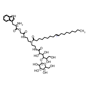 CCCCCCCC/C=C/CCCCCCCC(=O)N(CCNC(=O)COC(=O)[C@H](N)Cc1c[nH]c2ccccc12)CCNC(=O)C(O)C(O)C(O[C@@H]1OC(CO)[C@H](O)[C@H](O)C1O)C(O)CO